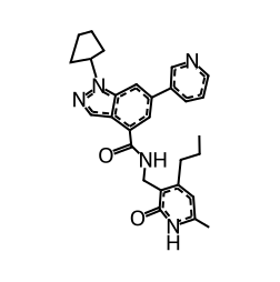 CCCc1cc(C)[nH]c(=O)c1CNC(=O)c1cc(-c2cccnc2)cc2c1cnn2C1CCCC1